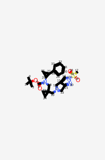 CC(C)(C)OC(=O)N(CC1(CN2Cc3cn(S(C)(=O)=O)nc3C2)CC1)[C@H]1CC1c1ccccc1